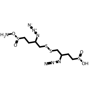 [N-]=[N+]=NC(CCS(=O)O)CSSCC(CCS(=O)ON)N=[N+]=[N-]